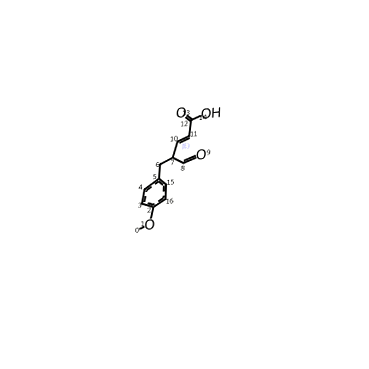 COc1ccc(CC(C=O)/C=C/C(=O)O)cc1